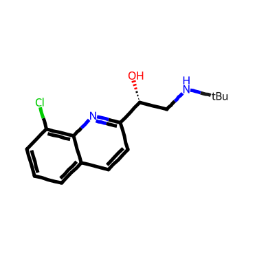 CC(C)(C)NC[C@@H](O)c1ccc2cccc(Cl)c2n1